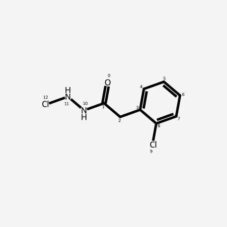 O=C(Cc1ccccc1Cl)NNCl